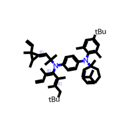 C=C/C(C)=C(\C(C)=C(/C)CC(C)(C)C)N(c1ccc(N(c2c(C)cc(C(C)(C)C)cc2C)C2(C)C=C3C=C(CC2)C3C)cc1)C(C)(C)/C=C1\C(C)C1(C)C=C